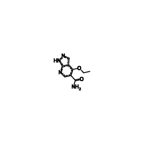 CCOc1c(C(N)=O)cnc2[nH]ncc12